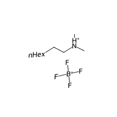 CCCCCCCC[NH+](C)C.F[B-](F)(F)F